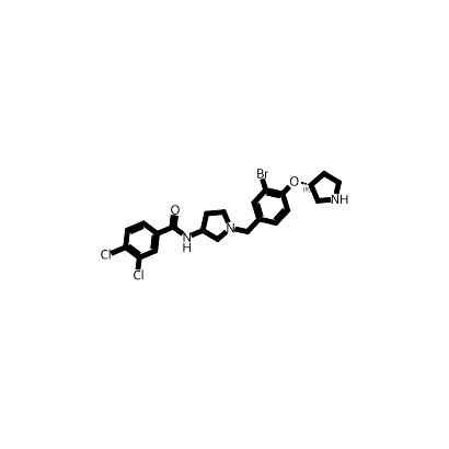 O=C(NC1CCN(Cc2ccc(O[C@@H]3CCNC3)c(Br)c2)C1)c1ccc(Cl)c(Cl)c1